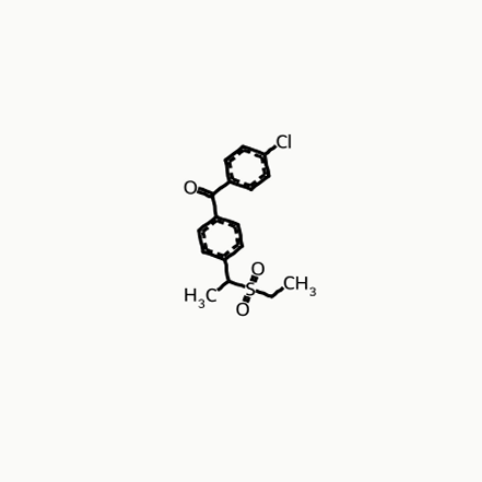 CCS(=O)(=O)C(C)c1ccc(C(=O)c2ccc(Cl)cc2)cc1